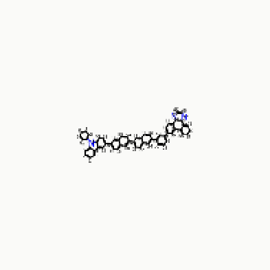 c1ccc(-n2c3ccccc3c3cc(-c4ccc5cc(-c6ccc7cc(-c8cccc(-c9ccc%10c(c9)c9ccccc9c9nccnc%109)c8)ccc7c6)ccc5c4)ccc32)cc1